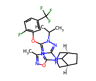 Cc1noc(N2C[C@H]3CC[C@@H](C2)C3Nc2nc(Oc3cc(C(F)(F)F)ccc3F)n(C(C)C)n2)n1